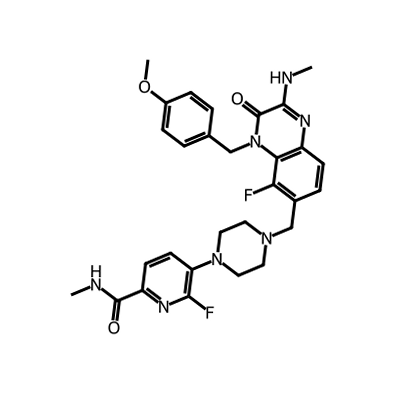 CNC(=O)c1ccc(N2CCN(Cc3ccc4nc(NC)c(=O)n(Cc5ccc(OC)cc5)c4c3F)CC2)c(F)n1